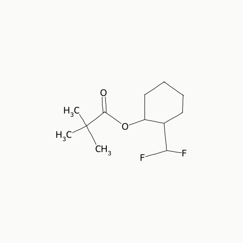 CC(C)(C)C(=O)OC1CCCCC1C(F)F